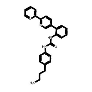 CCCCc1ccc(NC(=O)Nc2ccccc2-c2ccc(-c3ccccn3)nc2)cc1